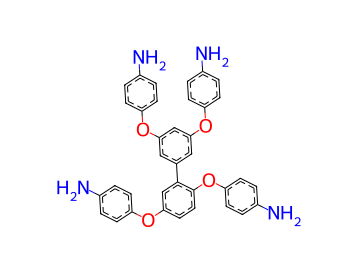 Nc1ccc(Oc2cc(Oc3ccc(N)cc3)cc(-c3cc(Oc4ccc(N)cc4)ccc3Oc3ccc(N)cc3)c2)cc1